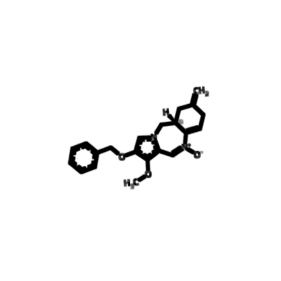 C=C1CC=C2[C@@H](C1)Cn1cc(OCc3ccccc3)c(OC)c1C=[N+]2[O-]